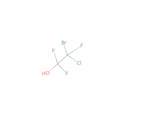 OC(F)(F)C(F)(Cl)Br